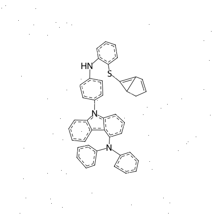 C1=CC2=C(Sc3ccccc3Nc3ccc(-n4c5ccccc5c5c(N(c6ccccc6)c6ccccc6)cccc54)cc3)C2C1